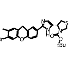 Cc1cc2c(cc1Br)Oc1ccc(-c3ncc([C@@H]4CSCN4C(=O)OC(C)(C)C)[nH]3)cc1C2